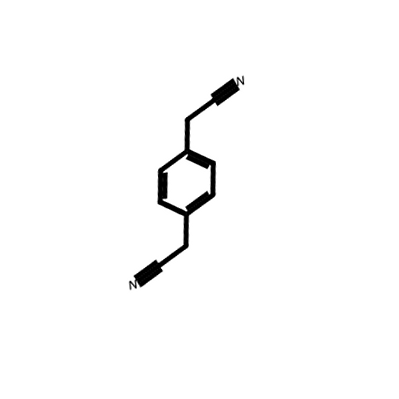 N#CCc1ccc(CC#N)cc1